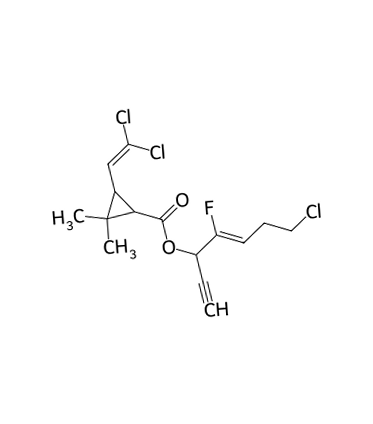 C#CC(OC(=O)C1C(C=C(Cl)Cl)C1(C)C)C(F)=CCCCl